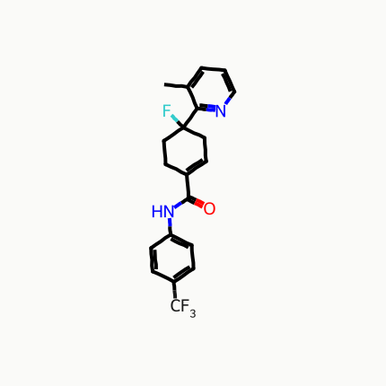 Cc1cccnc1C1(F)CC=C(C(=O)Nc2ccc(C(F)(F)F)cc2)CC1